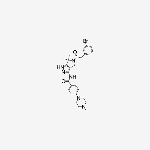 CN1CCN(c2ccc(C(=O)Nc3n[nH]c4c3CN(C(=O)Cc3cccc(Br)c3)C4(C)C)cc2)CC1